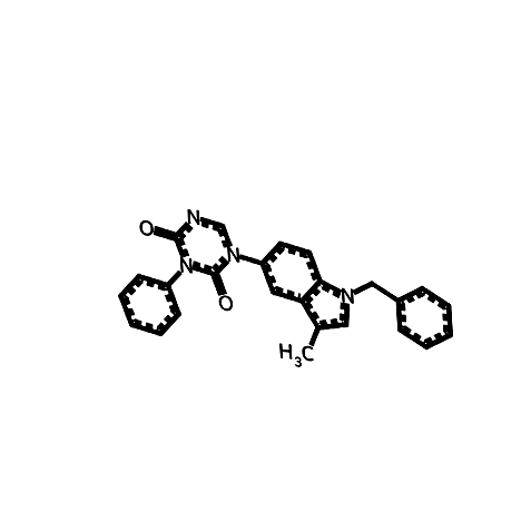 Cc1cn(Cc2ccccc2)c2ccc(-n3cnc(=O)n(-c4ccccc4)c3=O)cc12